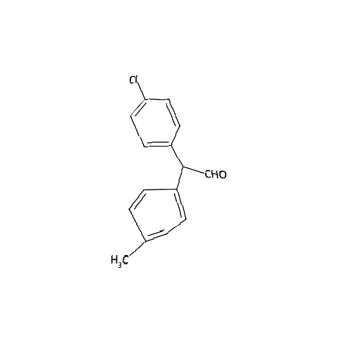 Cc1ccc(C(C=O)c2ccc(Cl)cc2)cc1